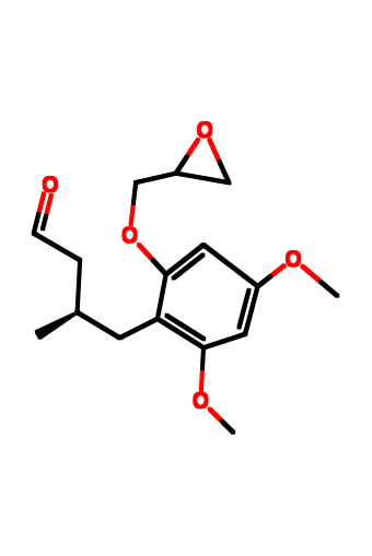 COc1cc(OC)c(C[C@@H](C)CC=O)c(OCC2CO2)c1